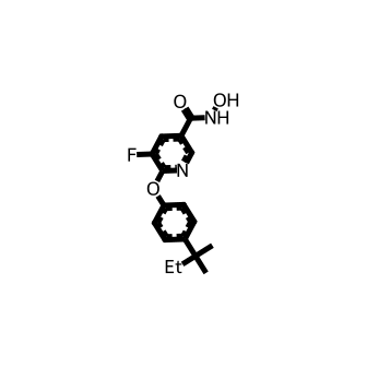 CCC(C)(C)c1ccc(Oc2ncc(C(=O)NO)cc2F)cc1